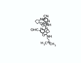 COC1CCCC1Nc1cc(NC(=O)N2c3nc(C=O)ccc3C3(C(=O)NCCN(C)C)CC2C3)ncc1C#N